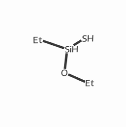 CCO[SiH](S)CC